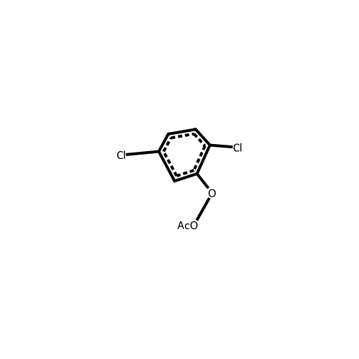 CC(=O)OOc1cc(Cl)ccc1Cl